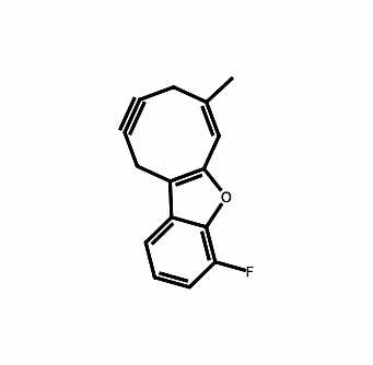 C/C1=C/c2oc3c(F)cccc3c2CC#CC1